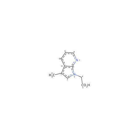 Cc1cn(CC(=O)O)c2ncccc12